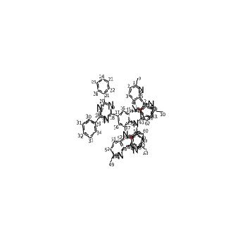 Cc1ccc2c(n1)c1nc(C)ccc1n2-c1cc(-c2nc(-c3ccccc3)nc(-c3ccccc3)n2)cc(-n2c3ccc(C)nc3c3nc(C)ccc32)c1N(c1ccccc1)c1ccccc1